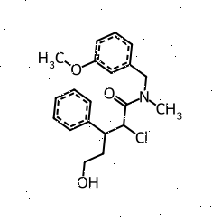 COc1cccc(CN(C)C(=O)C(Cl)C(CCO)c2ccccc2)c1